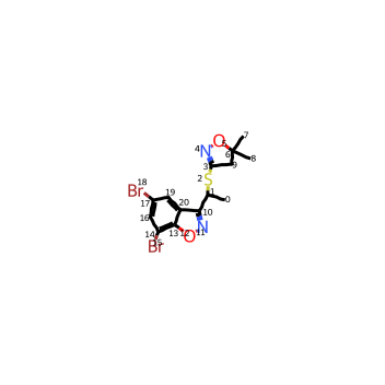 CC(SC1=NOC(C)(C)C1)c1noc2c(Br)cc(Br)cc12